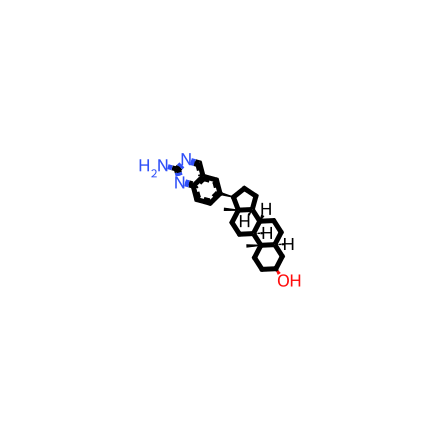 C[C@]12CC[C@H](O)C[C@@H]1CC[C@@H]1[C@@H]2CC[C@]2(C)[C@@H](c3ccc4nc(N)ncc4c3)CC[C@@H]12